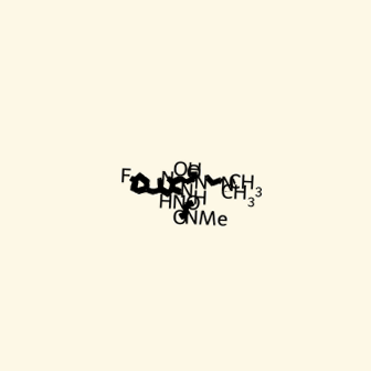 CNC(=O)C(=O)Nc1nc(C(=O)NCCCN(C)C)c(O)c2ncc(Cc3ccc(F)cc3)cc12